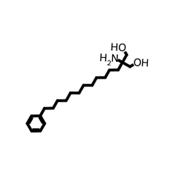 NC(CO)(CO)CCCCCCCCCCCCc1ccccc1